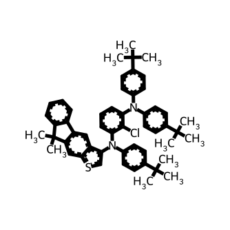 CC(C)(C)c1ccc(N(c2ccc(C(C)(C)C)cc2)c2cccc(N(c3ccc(C(C)(C)C)cc3)c3csc4cc5c(cc34)-c3ccccc3C5(C)C)c2Cl)cc1